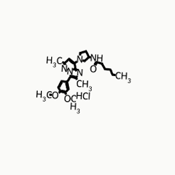 CCCCCC(=O)NC1CCN(c2cc(C)nn3c(-c4ccc(OC)c(OC)c4)c(C)nc23)C1.Cl